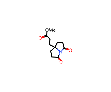 COC(=O)CCC12CCC(=O)N1C(=O)CC2